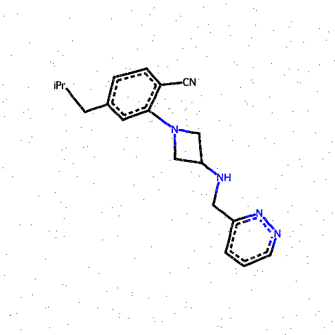 CC(C)Cc1ccc(C#N)c(N2CC(NCc3cccnn3)C2)c1